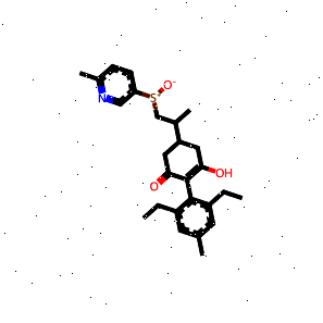 CCc1cc(C)cc(CC)c1C1=C(O)CC(C(C)C[S+]([O-])c2ccc(C)nc2)CC1=O